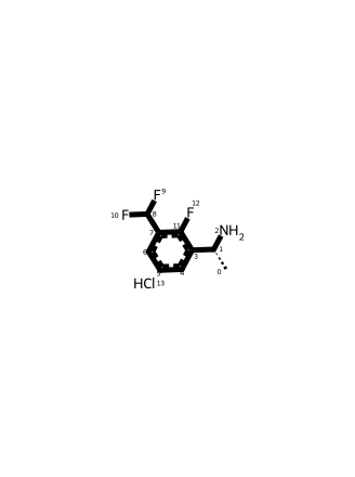 C[C@@H](N)c1cccc(C(F)F)c1F.Cl